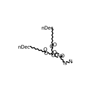 CCCCCCCCCCCCCCCCCCC(=O)OCCC1OC2(CCN(C(=O)CCCN(C)CCN(C)C)CC2)OC1CCOC(=O)CCCCCCCCCCCCCCCCCC